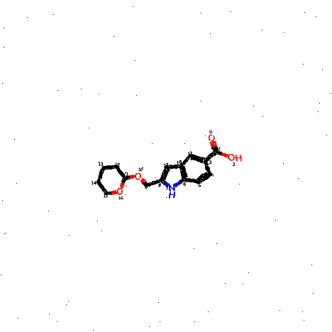 O=C(O)c1ccc2[nH]c(COC3CCCCO3)cc2c1